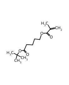 C=C(C)C(=O)OCCCCC(=O)OC(C)(C)C